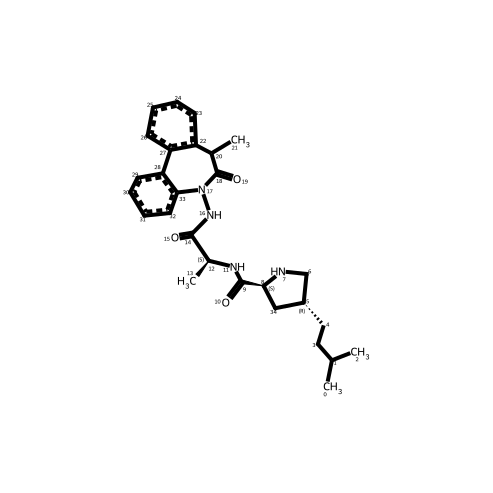 CC(C)CC[C@H]1CN[C@H](C(=O)N[C@@H](C)C(=O)NN2C(=O)C(C)c3ccccc3-c3ccccc32)C1